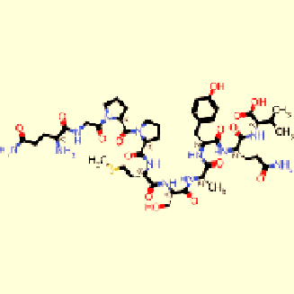 CSCC[C@H](NC(=O)[C@@H]1CCCN1C(=O)[C@@H]1CCCN1C(=O)CNC(=O)[C@@H](N)CCC(N)=O)C(=O)N[C@@H](CO)C(=O)N[C@@H](C)C(=O)N[C@@H](Cc1ccc(O)cc1)C(=O)N[C@@H](CCC(N)=O)C(=O)N[C@H](C(=O)O)C(C)C